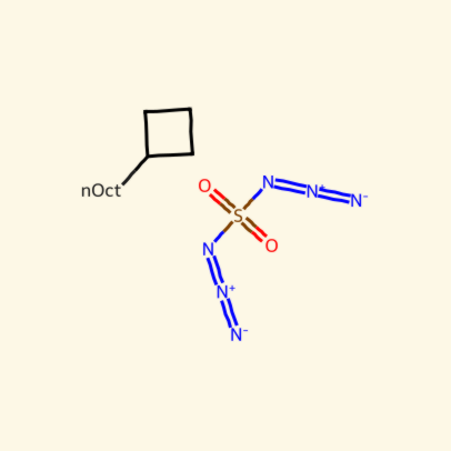 CCCCCCCCC1CCC1.[N-]=[N+]=NS(=O)(=O)N=[N+]=[N-]